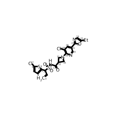 C=CC(c1ccc(Cl)s1)S(=O)(=O)NC(=O)C1CN(c2ncc(-c3ncc(CC)o3)cc2Cl)C1